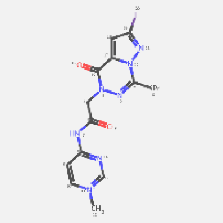 CC(C)c1nn(CC(=O)Nc2cc[n+](C)cn2)c(=O)c2cc(I)nn12